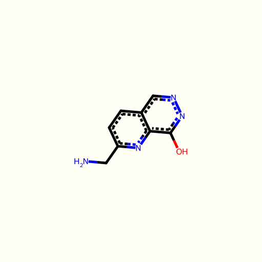 NCc1ccc2cnnc(O)c2n1